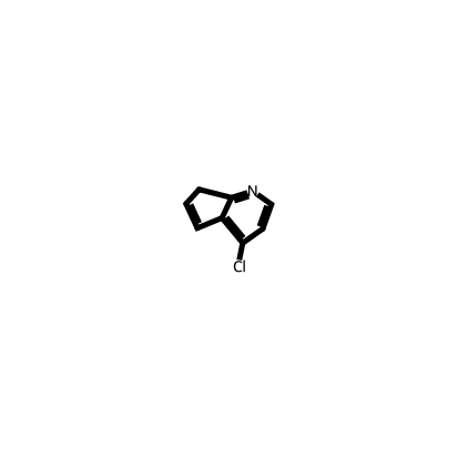 Clc1ccnc2c1C=CC2